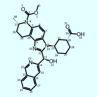 COC(=O)N1c2ccc3c(nc([C@@H](O)c4cc5ccccc5cn4)n3[C@@H]3CCC[C@@H](C(=O)O)C3)c2CC[C@@H]1C